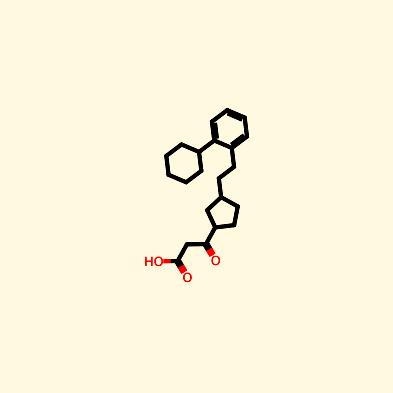 O=C(O)CC(=O)C1CCC(CCc2ccccc2C2CCCCC2)C1